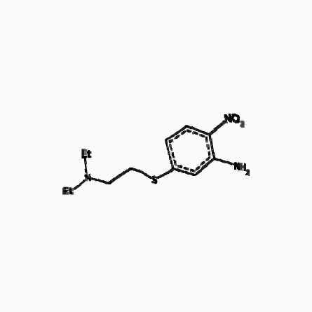 CCN(CC)CCSc1ccc([N+](=O)[O-])c(N)c1